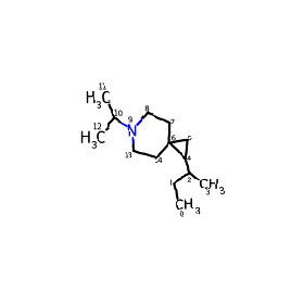 CCC(C)C1CC12CCN(C(C)C)CC2